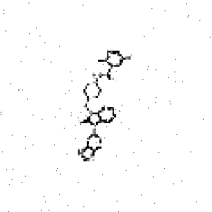 Cc1ncc(Cl)cc1C(=O)NC1CCC(Cn2c(=O)n(-c3ccc4ocnc4c3)c3ccccc32)CC1